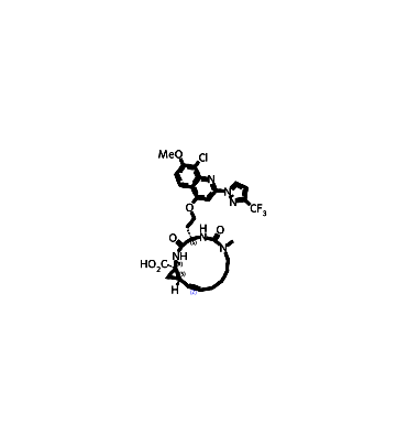 COc1ccc2c(OCC[C@@H]3NC(=O)N(C)CCCC/C=C\[C@@H]4C[C@@]4(C(=O)O)NC3=O)cc(-n3ccc(C(F)(F)F)n3)nc2c1Cl